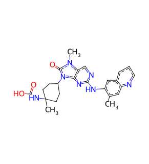 Cc1cc2ncccc2cc1Nc1ncc2c(n1)n(C1CCC(C)(NC(=O)O)CC1)c(=O)n2C